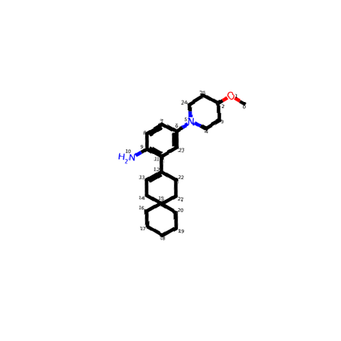 COC1CCN(c2ccc(N)c(C3=CCC4(CCCCC4)CC3)c2)CC1